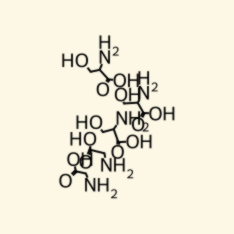 NC(CO)C(=O)O.NC(CO)C(=O)O.NC(CO)C(=O)O.NCC(=O)O.NCC(=O)O